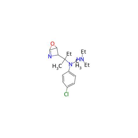 CCC(C)(C1N=C2OC21)N(C)c1ccc(Cl)cc1.CCNCC